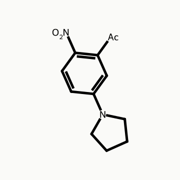 CC(=O)c1cc(N2CCCC2)ccc1[N+](=O)[O-]